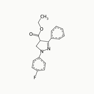 CCOC(=O)C1CN(c2ccc(F)cc2)N=C1c1ccccc1